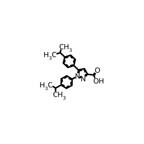 CC(C)c1ccc(-c2cc(C(=O)O)nn2-c2ccc(C(C)C)cc2)cc1